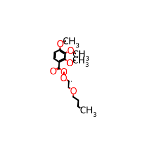 CCCCOC[CH]OOC(=O)c1ccc(OC)c(OC)c1OC